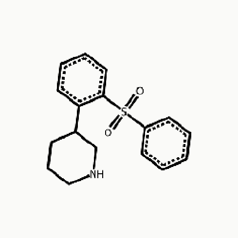 O=S(=O)(c1ccccc1)c1ccccc1C1CCCNC1